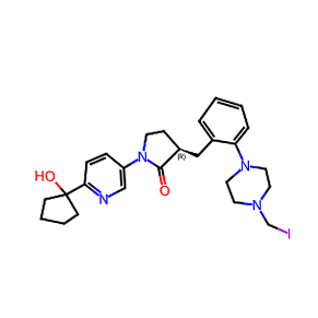 O=C1[C@H](Cc2ccccc2N2CCN(CI)CC2)CCN1c1ccc(C2(O)CCCC2)nc1